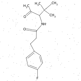 CC(=O)C(NC(=O)CCc1ccc(F)cc1)C(C)(C)C